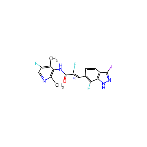 Cc1ncc(F)c(C)c1NC(=O)/C(F)=C/c1ccc2c(I)n[nH]c2c1F